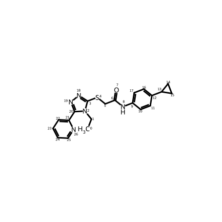 CCn1c(SCC(=O)Nc2ccc(C3CC3)cc2)nnc1-c1ccccn1